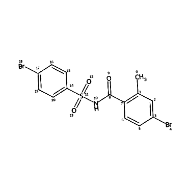 Cc1cc(Br)ccc1C(=O)NS(=O)(=O)c1ccc(Br)cc1